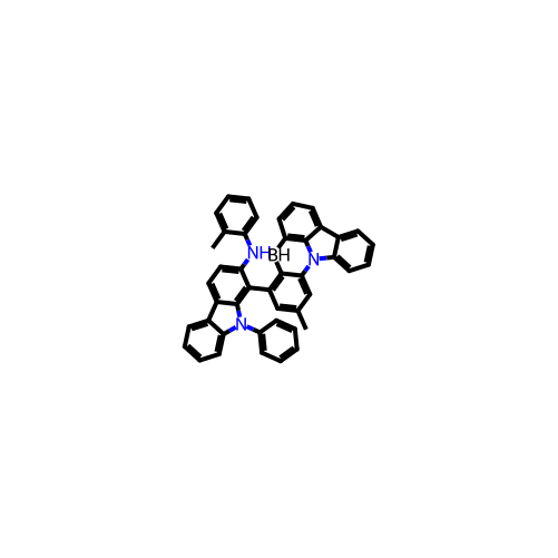 Cc1cc(-c2c(Nc3ccccc3C)ccc3c4ccccc4n(-c4ccccc4)c23)c2c(c1)-n1c3ccccc3c3cccc(c31)B2